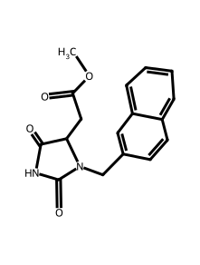 COC(=O)CC1C(=O)NC(=O)N1Cc1ccc2ccccc2c1